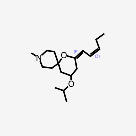 CC/C=C\C=C1/CC(OC(C)C)CC2(CCN(C)CC2)O1